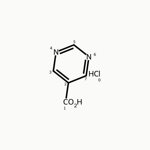 Cl.O=C(O)c1cncnc1